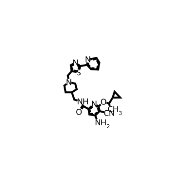 CC(Oc1nc(C(=O)NCC2CCN(Cc3cnc(-c4ccccn4)s3)CC2)cc(N)c1C#N)C1CC1